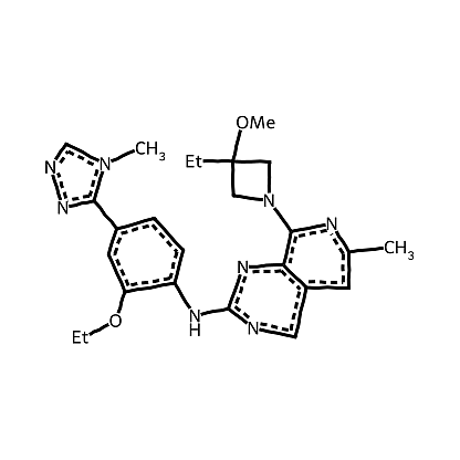 CCOc1cc(-c2nncn2C)ccc1Nc1ncc2cc(C)nc(N3CC(CC)(OC)C3)c2n1